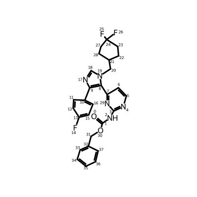 O=C(Nc1nccc(-c2c(-c3ccc(F)cc3)ncn2CC2CCC(F)(F)CC2)n1)OCc1ccccc1